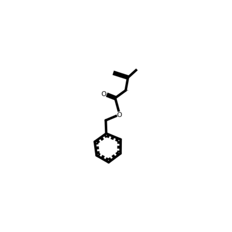 C=C(C)[CH]C(=O)OCc1ccccc1